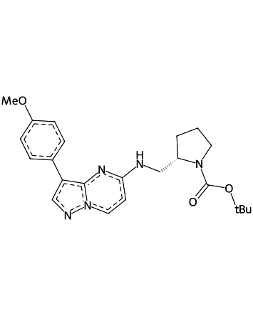 COc1ccc(-c2cnn3ccc(NC[C@@H]4CCCN4C(=O)OC(C)(C)C)nc23)cc1